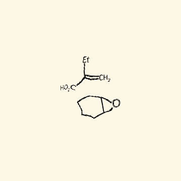 C1CCC2OC2C1.C=C(CC)C(=O)O